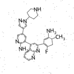 CC1CC(F)=C(c2cc(-c3cc(-c4cnn(C5CCNCC5)c4)cnc3N)c3cccnc3n2)C=C1N